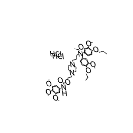 CCCOc1ccc([N+](CCCN2CCN(CCOC(=O)Nc3cc(OC)c(OC)c(OC)c3)CC2)(C(C)=O)c2ccc(OCCC)c(OC)c2)cc1OC.Cl.Cl